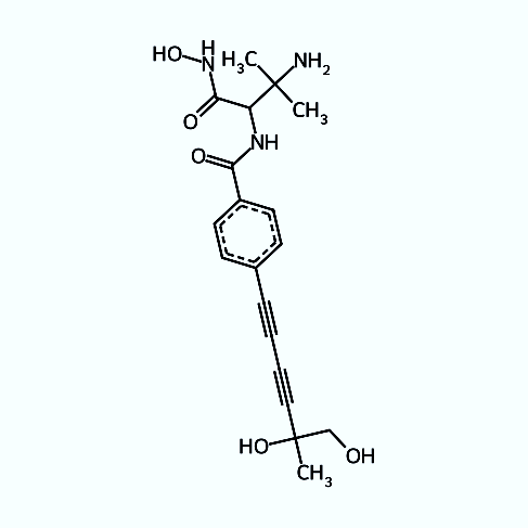 CC(O)(C#CC#Cc1ccc(C(=O)NC(C(=O)NO)C(C)(C)N)cc1)CO